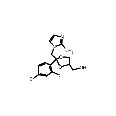 Cc1nccn1CC1(c2ccc(Cl)cc2Cl)OCC(CO)O1